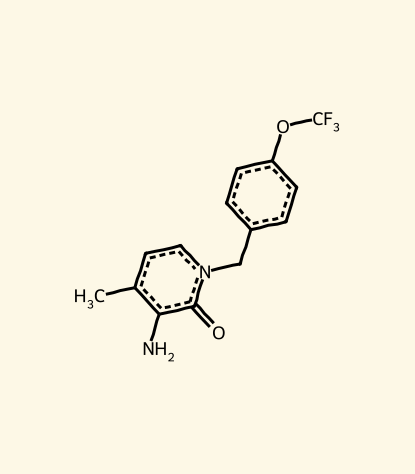 Cc1ccn(Cc2ccc(OC(F)(F)F)cc2)c(=O)c1N